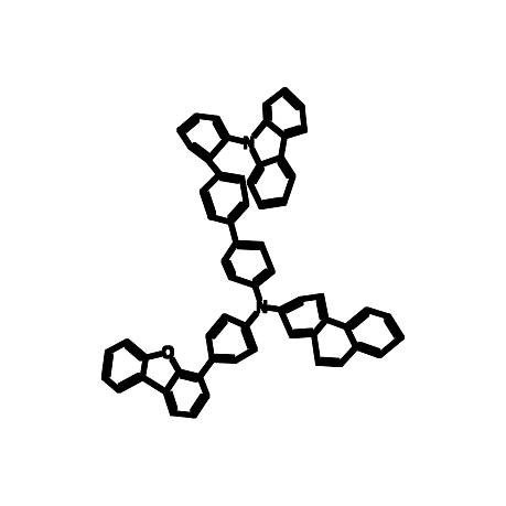 c1ccc(-n2c3ccccc3c3ccccc32)c(-c2ccc(-c3ccc(N(c4ccc(-c5cccc6c5oc5ccccc56)cc4)c4ccc5c(ccc6ccccc65)c4)cc3)cc2)c1